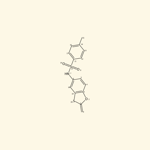 C=C1Oc2ccc(NS(=O)(=O)c3ccc(C)cc3)cc2S1